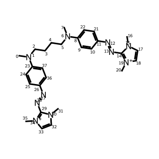 CN(CCCCN(C)c1ccc(N=Nc2n(C)cc[n+]2C)cc1)c1ccc(N=Nc2n(C)cc[n+]2C)cc1